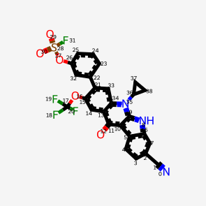 N#Cc1ccc2c(c1)[nH]c1c2c(=O)c2cc(OC(F)(F)F)c(-c3cccc(OS(=O)(=O)F)c3)cc2n1C1CC1